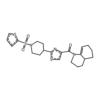 O=C(c1csc(C2CCN(S(=O)(=O)c3cccs3)CC2)n1)N1CCCC2CCCC=C21